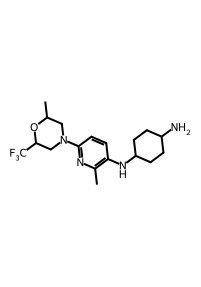 Cc1nc(N2CC(C)OC(C(F)(F)F)C2)ccc1NC1CCC(N)CC1